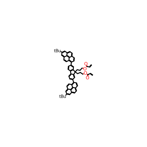 C=CC(=O)OCCCC1(CCCOC(=O)C=C)c2cc(-c3ccc4ccc5cc(C(C)(C)C)cc6ccc3c4c56)ccc2-c2ccc(-c3ccc4ccc5cc(C(C)(C)C)cc6ccc3c4c56)cc21